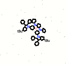 CC(C)(C)c1ccc2c(c1)c(-c1ccccc1)c(-c1ccccc1)n2-c1ccc2c(c1)N(c1ccccc1)c1cccc3c1B2c1ccc(-n2c(-c4ccccc4)c(-c4ccccc4)c4cc(C(C)(C)C)ccc42)cc1N3c1ccccc1